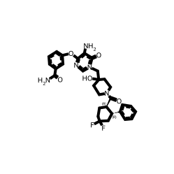 NC(=O)c1cccc(Oc2ncn(CC3(O)CCN(C(=O)[C@@H]4CCC(F)(F)C[C@H]4c4ccccc4)CC3)c(=O)c2N)c1